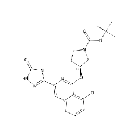 CC(C)(C)OC(=O)N1CC[C@H](Oc2nc(-c3n[nH]c(=O)[nH]3)cc3cccc(Cl)c23)C1